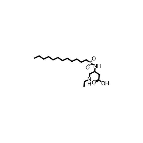 CCCCCCCCCCCCS(=O)(=O)NC(CNCC)CC(=O)O